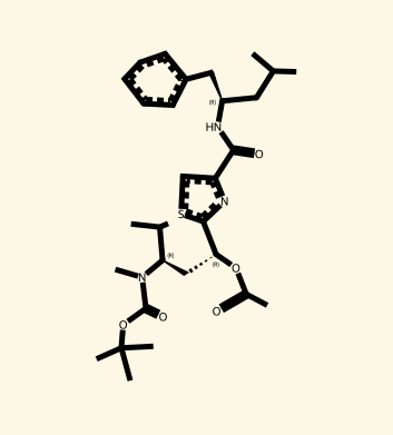 CC(=O)O[C@H](C[C@H](C(C)C)N(C)C(=O)OC(C)(C)C)c1nc(C(=O)N[C@@H](Cc2ccccc2)CC(C)C)cs1